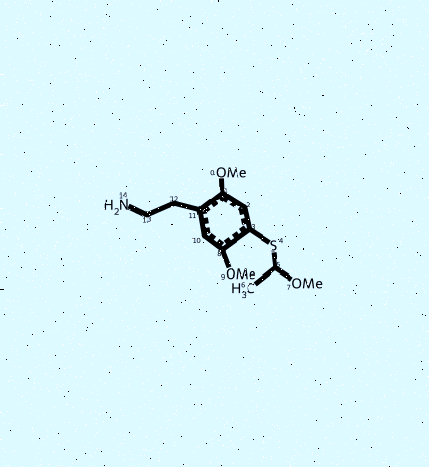 COc1cc(SC(C)OC)c(OC)cc1CCN